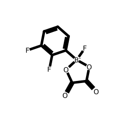 O=C1O[B-](F)(c2cccc(F)c2F)OC1=O